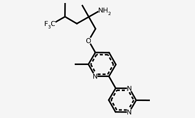 Cc1nccc(-c2ccc(OCC(C)(N)CC(C)C(F)(F)F)c(C)n2)n1